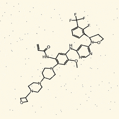 C=CC(=O)Nc1cc(Nc2cc(N3OCC[C@@H]3c3cccc(C(F)(F)F)c3F)ncn2)c(OC)cc1N1CCC(N2CCN(C3COC3)CC2)CC1